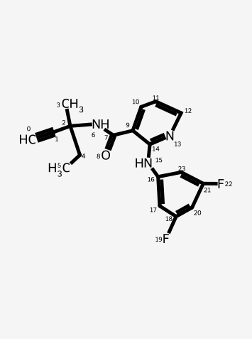 C#CC(C)(CC)NC(=O)c1cccnc1Nc1cc(F)cc(F)c1